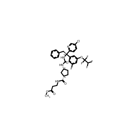 COC(=O)CCNC(=O)[C@H]1CC[C@@H](NC(=O)N[C@@](Cc2ccccc2)(c2cc(F)cc(OC(F)(F)C(F)F)c2)c2ccc(Cl)cn2)C1